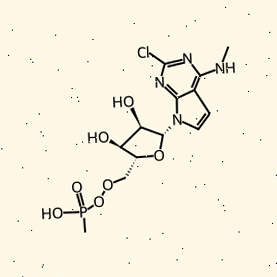 CNc1nc(Cl)nc2c1ccn2[C@@H]1O[C@H](COOP(C)(=O)O)[C@@H](O)[C@H]1O